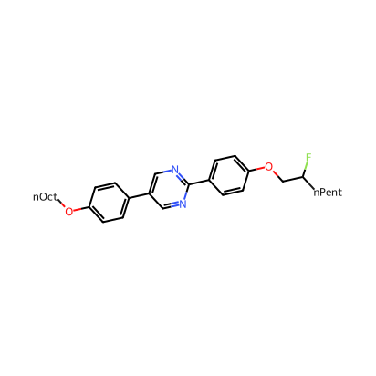 CCCCCCCCOc1ccc(-c2cnc(-c3ccc(OCC(F)CCCCC)cc3)nc2)cc1